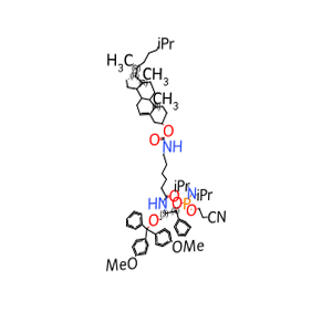 COc1ccc(C(OC[C@H](NC(=O)CCCCCNC(=O)OC2CC[C@@]3(C)C(=CCC4C3CC[C@@]3(C)C4CC[C@@H]3[C@H](C)CCCC(C)C)C2)[C@@H](OP(OCCC#N)N(C(C)C)C(C)C)c2ccccc2)(c2ccccc2)c2ccc(OC)cc2)cc1